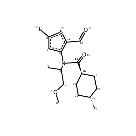 COCC(C)N(c1cc(I)sc1C=O)C(=O)[C@H]1CC[C@H](C)CC1